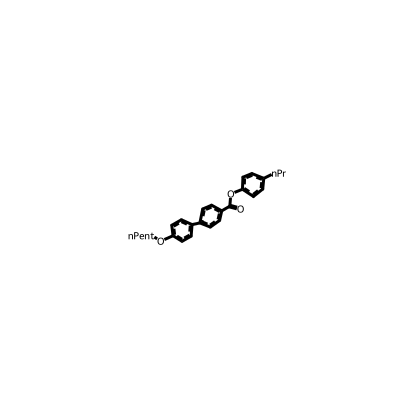 CCCCCOc1ccc(-c2ccc(C(=O)Oc3ccc(CCC)cc3)cc2)cc1